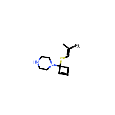 CC/C(C)=C/SC1(N2CCNCC2)C=CC1